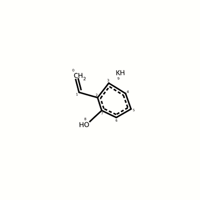 C=Cc1ccccc1O.[KH]